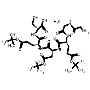 C[C@H](NC(=O)CN)C(=O)N[C@@H](CCC(=O)OC(C)(C)C)C(=O)N[C@@H](CC(=O)OC(C)(C)C)C(=O)N[C@@H](CCC(=O)OC(C)(C)C)C(=O)N[C@@H](CO)C(=O)O